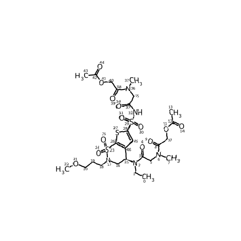 CCN(C(=O)CN(C)C(=O)COC(C)=O)[C@H]1CN(CCCOC)S(=O)(=O)c2sc(S(=O)(=O)NC(=O)CN(C)C(=O)COC(C)=O)cc21